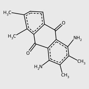 Cc1ccc2c(c1C)C(=O)c1c(N)c(C)c(C)c(N)c1C2=O